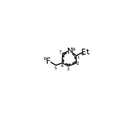 CCc1ccc(CF)cn1